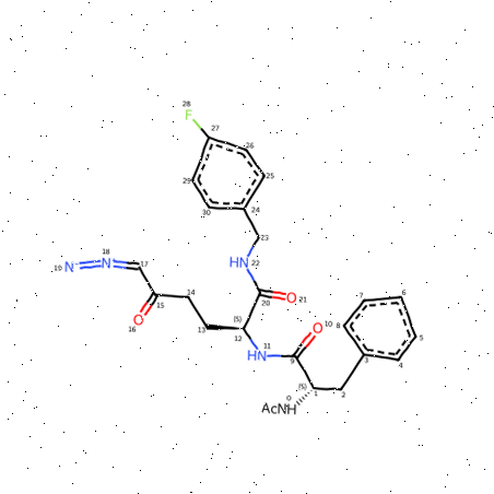 CC(=O)N[C@@H](Cc1ccccc1)C(=O)N[C@@H](CCC(=O)C=[N+]=[N-])C(=O)NCc1ccc(F)cc1